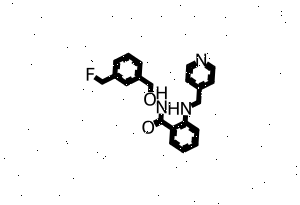 O=C(NOCc1cccc(CF)c1)c1ccccc1NCc1ccncc1